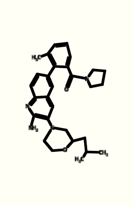 Cc1cccc(C(=O)N2CCCC2)c1-c1ccc2nc(N)c(N3CCOC(CC(C)C)C3)cc2c1